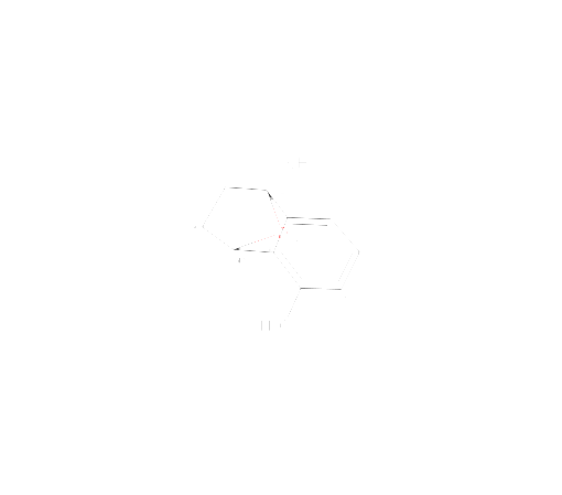 Cc1cccc2c1[C@H]1CC[C@]2(C)O1